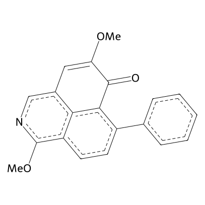 COC1=Cc2cnc(OC)c3ccc(-c4ccccc4)c(c23)C1=O